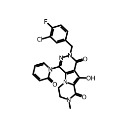 CN1CCn2c(c(O)c3c(=O)n(Cc4ccc(F)c(Cl)c4)nc(-n4ccccc4=O)c32)C1=O